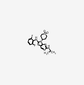 CC(C)Nc1ncc2nc(Nc3c(F)cccc3F)n(C3CCS(=O)(=O)CC3)c2n1